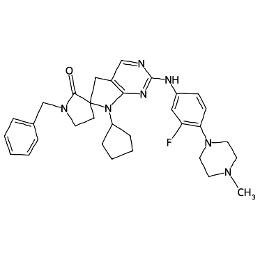 CN1CCN(c2ccc(Nc3ncc4c(n3)N(C3CCCC3)C3(CCN(Cc5ccccc5)C3=O)C4)cc2F)CC1